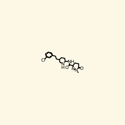 CN1N=C(C(=O)NC2CCC(CCc3cccc(Cl)c3)CN2)CCC1=O